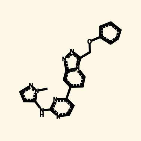 Cn1nccc1Nc1nccc(-c2ccn3c(COc4ccccc4)nnc3c2)n1